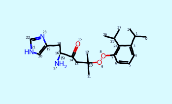 CC(C)c1cccc(OOC(C)(C)CC(=O)[C@@H](N)Cc2c[nH]cn2)c1C(C)C